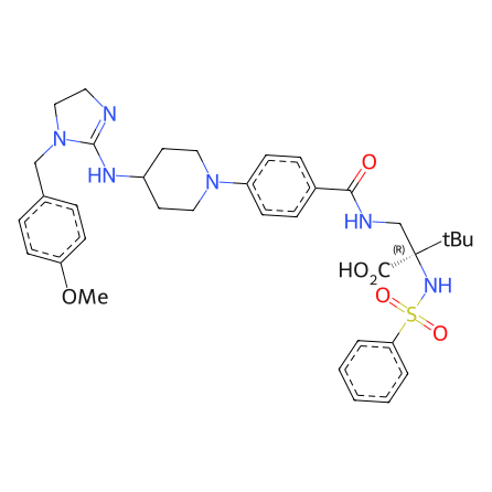 COc1ccc(CN2CCN=C2NC2CCN(c3ccc(C(=O)NC[C@@](NS(=O)(=O)c4ccccc4)(C(=O)O)C(C)(C)C)cc3)CC2)cc1